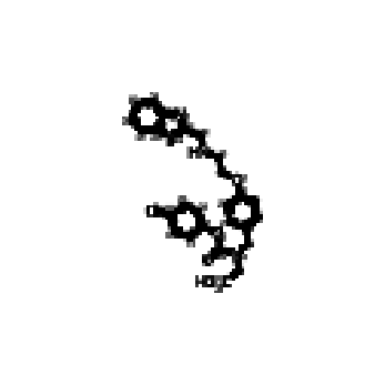 O=C(O)CN(Cc1ccc(OCCNCc2nc3ccccc3s2)cc1)C(=O)Oc1ccc(Cl)cc1